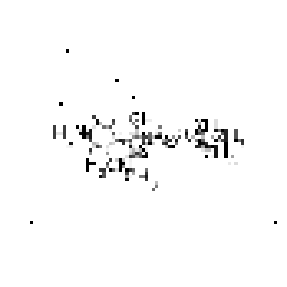 Cc1c(-c2ccc(N)cc2)c(N(C)C)nn1COCC[Si](C)(C)C